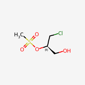 CS(=O)(=O)O[C@H](CO)CCl